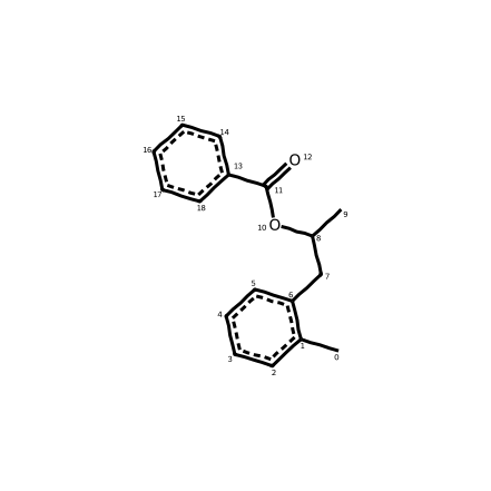 Cc1ccccc1CC(C)OC(=O)c1ccccc1